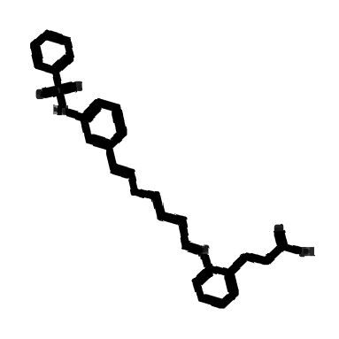 O=C(O)CCc1ccccc1OCCCCC/C=C/c1cccc(NS(=O)(=O)c2ccccc2)c1